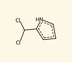 Cl[C](Cl)c1ccc[nH]1